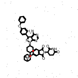 Nc1ncnc2c1c(-c1ccc(Oc3ccccc3)cc1)nn2C1CCC(CN2C3CC2CN(c2ccc4c(c2)C(=O)N(C2CCC(=O)NC2=O)C4=O)C3)CC1